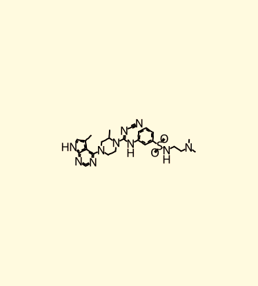 Cc1c[nH]c2ncnc(N3CCN(C(=NC#N)Nc4cccc(S(=O)(=O)NCCN(C)C)c4)C(C)C3)c12